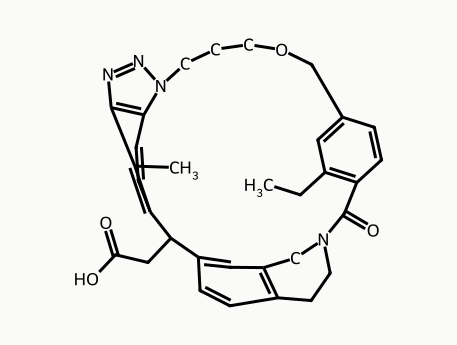 CCc1cc2ccc1C(=O)N1CCc3ccc(cc3C1)C(CC(=O)O)c1ccc3c(nnn3CCCOC2)c1C